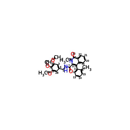 COc1cc(CNC(=O)c2c(-c3ccccc3C)c3ccccc3c(=O)n2C)cc(OC)c1OC